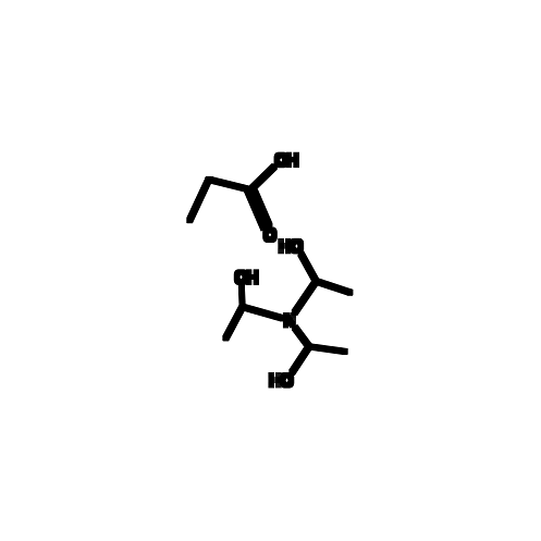 CC(O)N(C(C)O)C(C)O.CCC(=O)O